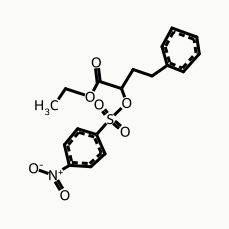 CCOC(=O)C(CCc1ccccc1)OS(=O)(=O)c1ccc([N+](=O)[O-])cc1